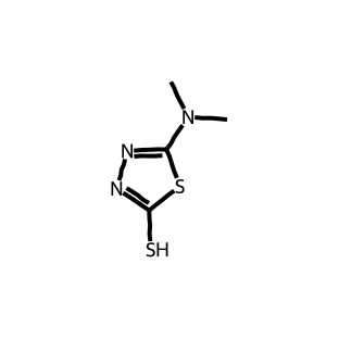 CN(C)c1nnc(S)s1